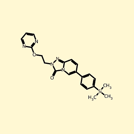 C[Si](C)(C)c1ccc(-c2ccc3nn(CCOc4ncccn4)c(=O)n3c2)cc1